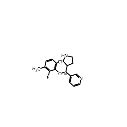 Cc1ccc(Cl)c(O[C@H](c2cccnc2)C2CCNC2)c1F